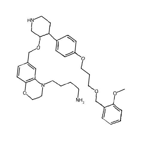 COc1ccccc1COCCCOc1ccc(C2CCNCC2OCc2ccc3c(c2)N(CCCCN)CCO3)cc1